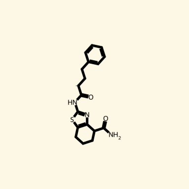 NC(=O)C1CCCc2sc(NC(=O)[CH]CCc3ccccc3)nc21